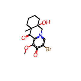 COc1c2n(cc(Br)c1=O)CC1(O)CCCCC1(C)C2=O